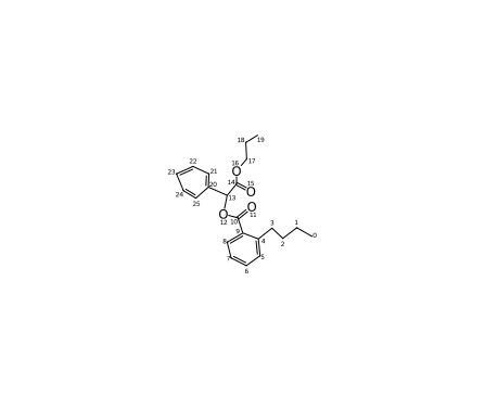 CCCCc1ccccc1C(=O)OC(C(=O)OCCC)c1ccccc1